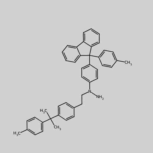 Cc1ccc(C(C)(C)c2ccc(CCN(N)c3ccc(C4(c5ccc(C)cc5)c5ccccc5-c5ccccc54)cc3)cc2)cc1